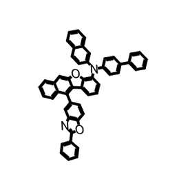 c1ccc(-c2ccc(N(c3ccc4ccccc4c3)c3cccc4c3oc3cc5ccccc5c(-c5ccc6oc(-c7ccccc7)nc6c5)c34)cc2)cc1